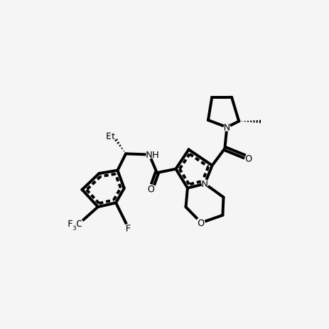 CC[C@H](NC(=O)c1cc(C(=O)N2CCC[C@@H]2C)n2c1COCC2)c1ccc(C(F)(F)F)c(F)c1